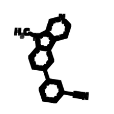 Cn1c2ccc(-c3cccc(C#N)c3)cc2c2ccncc21